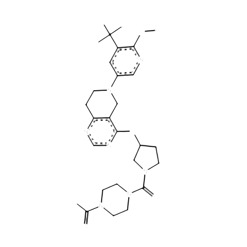 COc1ncc(N2CCc3ncnc(OC4CCN(C(=O)N5CCN(C(C)=O)CC5)C4)c3C2)cc1C(F)(F)F